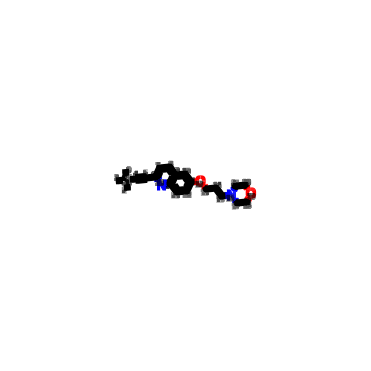 C[Si](C)(C)C#Cc1ccc2cc(OCCCN3CCOCC3)ccc2n1